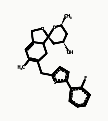 CC1=C(Cc2ccc(-c3ccccc3F)s2)CC2C(=C1)CO[C@@]21C[C@@H](O)C[C@@H](C)O1